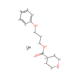 O=C(OCCCOc1ccccc1)C1CCOCC1.[LiH]